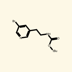 CC(C)(C)OC(=O)NCCc1cncc(Br)c1